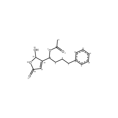 CC(=O)OC(CCCc1ccccc1)C1=CC(=O)OC1O